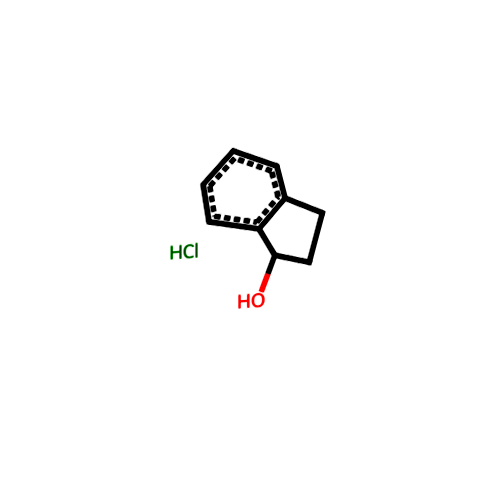 Cl.OC1CCc2ccccc21